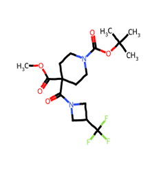 COC(=O)C1(C(=O)N2CC(C(F)(F)F)C2)CCN(C(=O)OC(C)(C)C)CC1